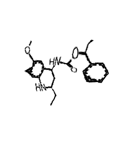 CC[C@@H]1C[C@H](NC(=O)O[C@@H](C)c2ccccc2)c2cc(OC)ccc2N1